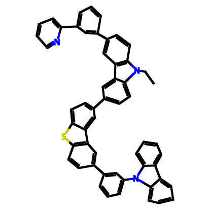 CCn1c2ccc(-c3cccc(-c4ccccn4)c3)cc2c2cc(-c3ccc4sc5ccc(-c6cccc(-n7c8ccccc8c8ccccc87)c6)cc5c4c3)ccc21